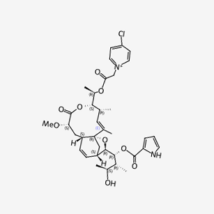 CO[C@H]1C[C@H]2C=C[C@@H]3C[C@]2(O[C@H]3[C@H](OC(=O)c2ccc[nH]2)[C@H](C)[C@H](C)O)/C(C)=C/[C@@H](C)[C@@H]([C@@H](C)OC(=O)C[n+]2ccc(Cl)cc2)OC1=O